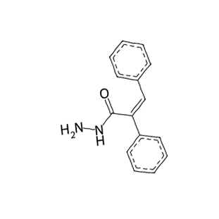 NNC(=O)C(=Cc1ccccc1)c1ccccc1